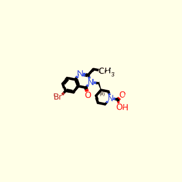 CCc1nc2ccc(Br)cc2c(=O)n1C[C@@H]1CCCN(C(=O)O)C1